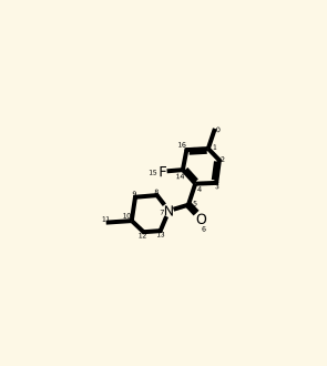 Cc1ccc(C(=O)N2CCC(C)CC2)c(F)c1